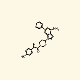 Nc1nc(-c2cccnc2)nc2c1ncn2C1CCC(C(=O)Nc2ccc(S)cc2)CC1